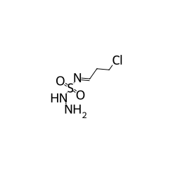 NNS(=O)(=O)N=CCCCl